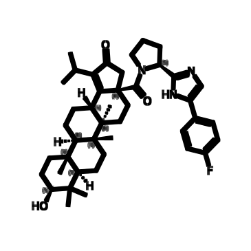 CC(C)C1=C2[C@H]3CC[C@@H]4[C@@]5(C)CC[C@H](O)C(C)(C)[C@@H]5CC[C@@]4(C)[C@]3(C)CC[C@@]2(C(=O)N2CCC[C@H]2c2ncc(-c3ccc(F)cc3)[nH]2)CC1=O